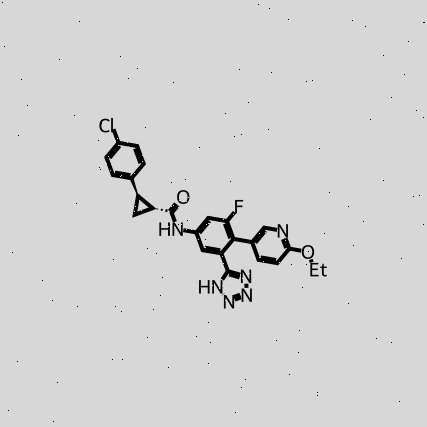 CCOc1ccc(-c2c(F)cc(NC(=O)[C@@H]3C[C@H]3c3ccc(Cl)cc3)cc2-c2nnn[nH]2)cn1